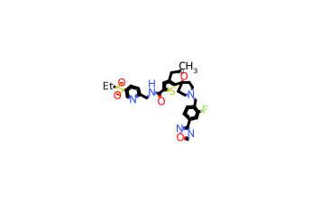 CCS(=O)(=O)c1ccc(CNC(=O)c2cc3c(s2)C2(CCN(Cc4ccc(-c5ncon5)cc4F)CC2)O[C@@H](C)C3)nc1